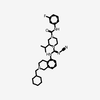 CC(C)C1CN(C(=O)Nc2cccc(F)c2)CCN1/C(=N\C#N)Nc1cccc2c1CCN(CC1CCCCC1)C2